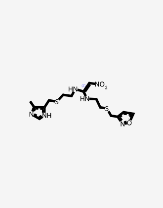 Cc1nc[nH]c1CSCCN/C(=C/[N+](=O)[O-])NCCSCc1ccon1